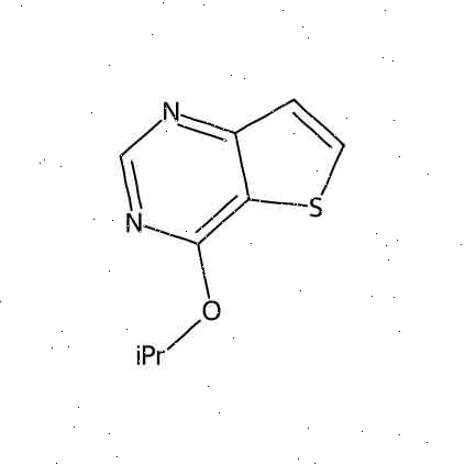 CC(C)Oc1ncnc2ccsc12